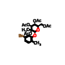 CC(=O)OC[C@H]1O[C@H](Oc2cc(Br)ccc2C)[C@@](C)(OC(C)=O)[C@@H](OC(C)=O)[C@@H]1OC(C)=O